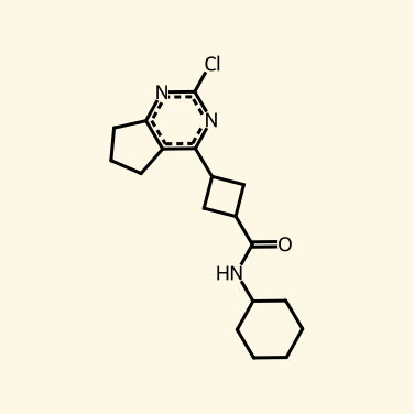 O=C(NC1CCCCC1)C1CC(c2nc(Cl)nc3c2CCC3)C1